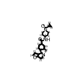 O=C(NC1CCN(C(=O)C2CC2)CC1)c1ccc(-c2nccc3occc23)c(F)c1